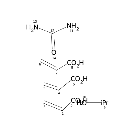 C=CC(=O)O.C=CC(=O)O.C=CC(=O)O.CC(C)O.NC(N)=O